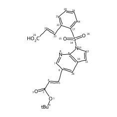 CC(C)(C)OC(=O)C=Cc1cnc2c(ccn2S(=O)(=O)c2ccccc2C=CC(=O)O)c1